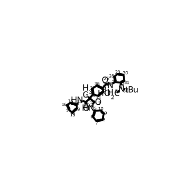 CC(C(=O)Nc1ccccc1)(C(=O)Nc1ccccc1)c1ccc(C(=O)Nc2ccccc2N(C(=O)O)C(C)(C)C)cc1